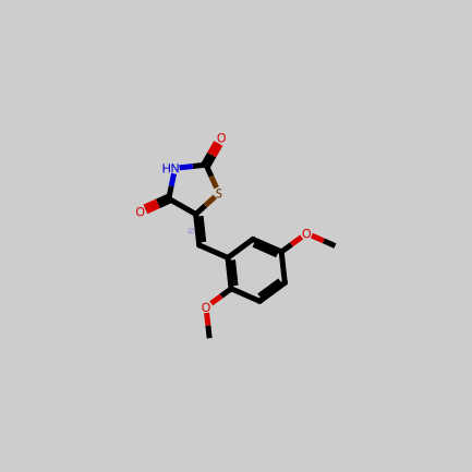 COc1ccc(OC)c(/C=C2\SC(=O)NC2=O)c1